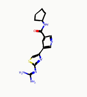 NC(N)=Nc1nc(-c2cncc(C(=O)NC3CCCC3)c2)cs1